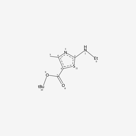 CCNc1nc(C)c(C(=O)OC(C)(C)C)s1